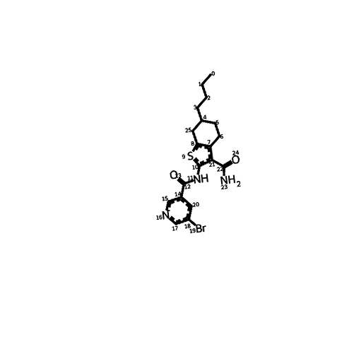 CCCCC1CCc2c(sc(NC(=O)c3cncc(Br)c3)c2C(N)=O)C1